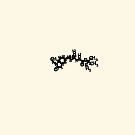 CCN1C(=O)Cc2cc(NC[C@@H](O)CNC(=O)OC(C)(C)C)ccc21